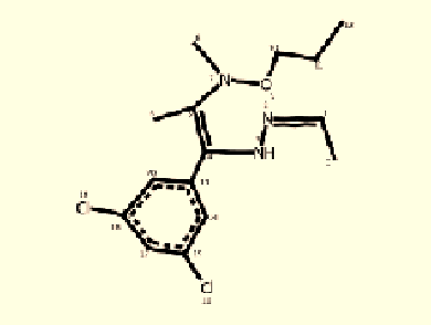 C/C=N\N/C(=C(/C)N(C)OCCC)c1cc(Cl)cc(Cl)c1